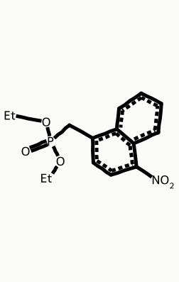 CCOP(=O)(Cc1ccc([N+](=O)[O-])c2ccccc12)OCC